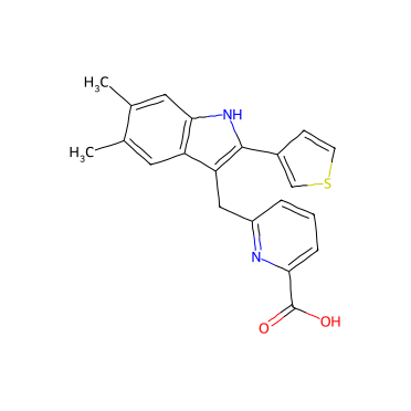 Cc1cc2[nH]c(-c3ccsc3)c(Cc3cccc(C(=O)O)n3)c2cc1C